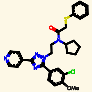 COc1ccc(-c2nc(-c3ccncc3)nn2CCN(C(=O)CSc2ccccc2)C2CCCC2)cc1Cl